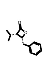 CC(C)[C@@H]1C(=O)O[C@@H]1Cc1ccccc1